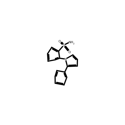 NS(=O)(=O)c1ccccc1-n1cccc1-c1ccccc1